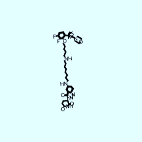 O=C1CCC(n2nnc3ccc(NCCCCCCCCNCCCCCOc4c(-c5csc(N6CCOCC6)n5)ccc(F)c4F)cc3c2=O)C(=O)N1